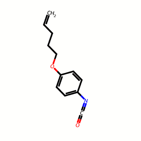 C=CCCCOc1ccc(N=C=O)cc1